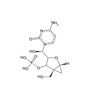 Nc1ccn([C@H](O)C2O[C@@H]3C[C@]3(CO)C2OP(=O)(O)O)c(=O)n1